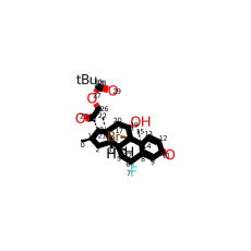 C[C@@H]1C[C@H]2[C@@H]3C[C@H](F)C4=CC(=O)C=C[C@]4(C)[C@@]3(Br)[C@@H](O)C[C@]2(C)[C@H]1C(=O)COC(=O)C(C)(C)C